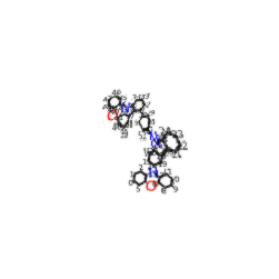 c1ccc2c(c1)Oc1ccccc1N2c1ccc2c(c1)c1ccccc1n2-c1ccc(-c2cccc3c2c2cccc4c2n3-c2ccccc2O4)cc1